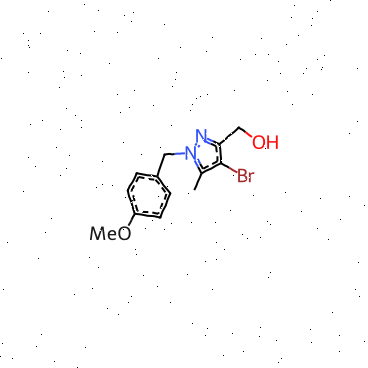 COc1ccc(Cn2nc(CO)c(Br)c2C)cc1